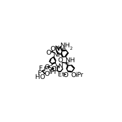 CCOc1cc([C@@H](Nc2ccc3c(N)nccc3c2)C(=O)N2CCC[C@H]2c2cc(NC(=O)OC)ccc2S(=O)(=O)C(C)C)ccc1OC(C)C.O=C(O)C(F)(F)F